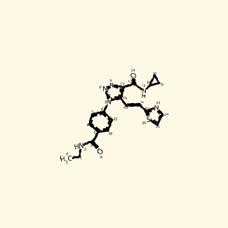 CCNC(=O)c1ccc(-n2nnc(C(=O)NC3CC3)c2C=Cc2nccs2)cc1